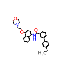 CCc1ccc(-c2cccc(C(=O)Nc3ccc(OCCN4CCOCC4)c4ccccc34)c2)cc1